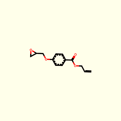 C=CCOC(=O)c1ccc(OCC2CO2)cc1